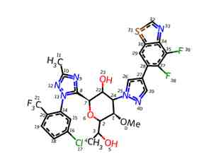 CO[C@H]1C(C(C)O)O[C@@H](c2nc(C)nn2-c2cc(Cl)ccc2C(F)(F)F)C(O)C1n1cc(-c2cc3scnc3c(F)c2F)cn1